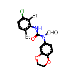 CCc1ccc(Cl)c(CC)c1NC(=O)N(C=O)c1ccc2c(c1)OCCO2